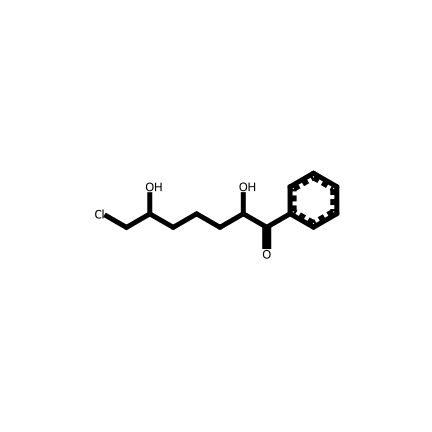 O=C(c1ccccc1)C(O)CCCC(O)CCl